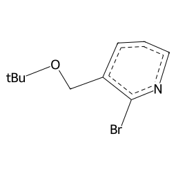 CC(C)(C)OCc1cccnc1Br